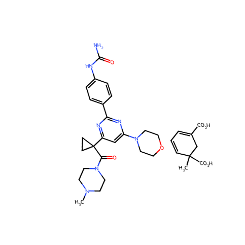 CC1(C(=O)O)C=CC=C(C(=O)O)C1.CN1CCN(C(=O)C2(c3cc(N4CCOCC4)nc(-c4ccc(NC(N)=O)cc4)n3)CC2)CC1